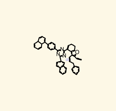 C=Cc1oc2c(c1/C=C\Cc1ccccc1)C(c1nc(-c3ccc(C4=CC=CC5C=CC=CC45)cc3)nc(-c3ccc4ccccc4c3)n1)=CCC2